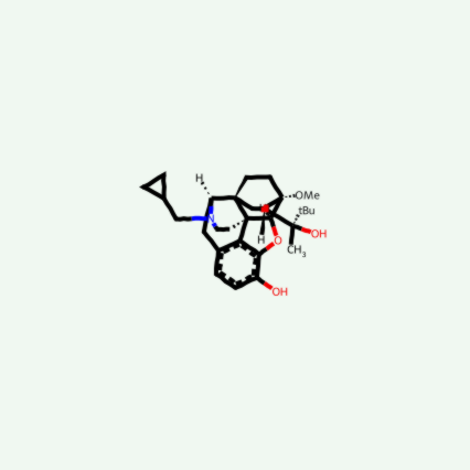 CO[C@@]12CC[C@]3(C[C@H]1[C@](C)(O)C(C)(C)C)[C@@H]1Cc4ccc(O)c5c4[C@]3(CCN1CC1CC1)[C@@H]2O5